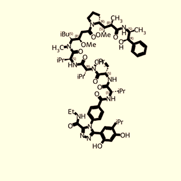 CCNC(=O)c1nnc(-c2cc(C(C)C)c(O)cc2O)n1-c1ccc(C(=O)N[C@H](C(=O)N[C@@H](CC(C)C)C(=O)N(C)[C@@H](C(=O)N[C@H](C(=O)N(C)C([C@@H](C)CC)[C@@H](CC(=O)N2CCC[C@@H]2[C@@H](OC)[C@@H](C)C(=O)N[C@@H](C)[C@H](O)c2ccccc2)OC)C(C)C)C(C)C)C(C)C)cc1